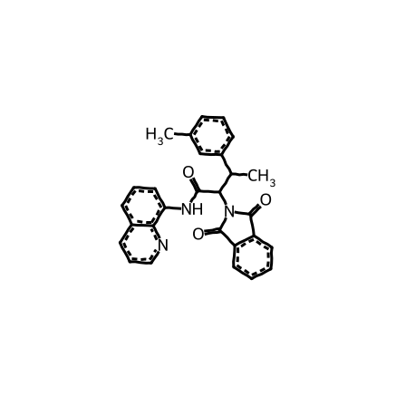 Cc1cccc(C(C)C(C(=O)Nc2cccc3cccnc23)N2C(=O)c3ccccc3C2=O)c1